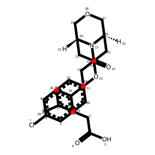 O=C(O)Cc1cc(Cl)ccc1OCC(=O)N1[C@H]2COC[C@H]1CC(Oc1ccc(F)cc1)C2